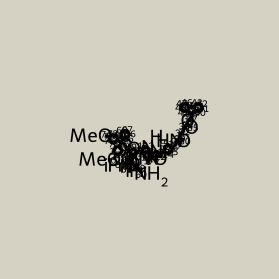 COc1ccc(C(OC[C@H]2O[C@@H](C3C=NC4=C3NCN=C4NC(=O)c3ccc(CNC(=O)CCCC(=O)OCC4c5ccccc5-c5ccccc54)cc3)CC2OP(OCCN)N(C(C)C)C(C)C)(c2ccccc2)c2ccc(OC)cc2)cc1